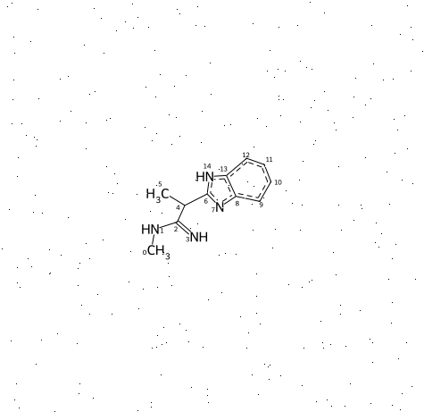 CNC(=N)C(C)c1nc2ccccc2[nH]1